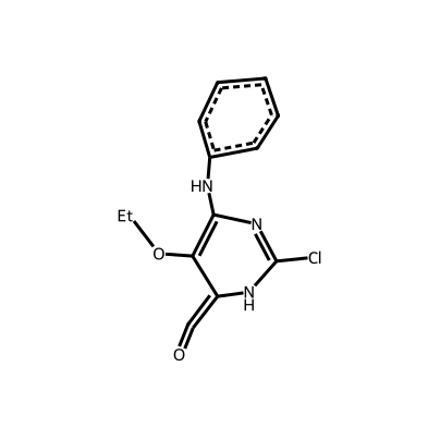 CCOC1=C(Nc2ccccc2)N=C(Cl)NC1=C=O